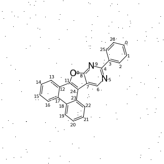 c1ccc(-c2ncc3c(n2)oc2c4ccccc4c4ccccc4c32)cc1